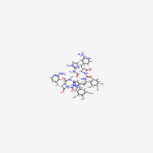 CC[C@@H](NC(=O)N1C(=O)[C@H](Cc2ccnc(N)c2)[C@H]1C(=O)N(C)c1cc(C[C@@H](NC(=O)N2C(=O)[C@H](Cc3ccnc(N)c3)[C@H]2C(=O)N(C)c2nccn2C)c2ccc(C)c(F)c2C)n(C)n1)c1cc(F)c(F)c(F)c1